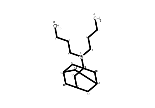 CCC[CH2][Bi]([CH2]CCC)[C]12CC3CC(CC(C3)C1)C2